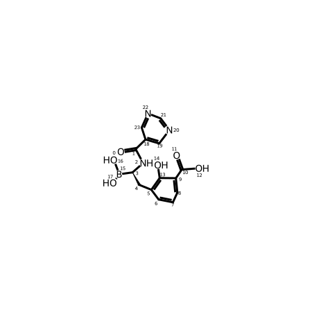 O=C(N[C@@H](Cc1cccc(C(=O)O)c1O)B(O)O)c1cncnc1